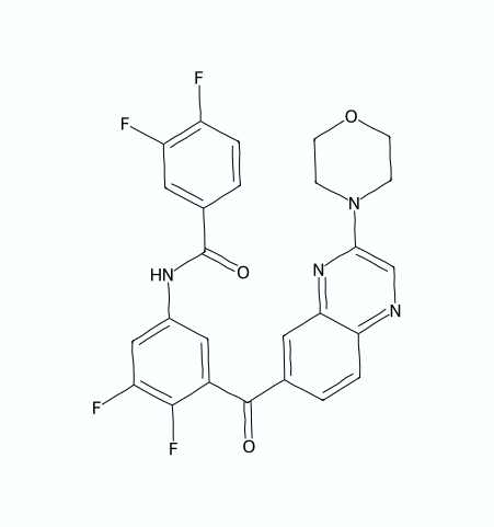 O=C(Nc1cc(F)c(F)c(C(=O)c2ccc3ncc(N4CCOCC4)nc3c2)c1)c1ccc(F)c(F)c1